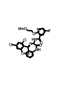 COCCOc1ncc(F)cc1C(=O)NC1N=C(c2c(Cl)cc(Cl)cc2OC)c2ccccc2NC1=O